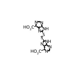 O=C(O)c1ncnc2[nH]c(SSc3nc4c(C(=O)O)ncnc4[nH]3)nc12